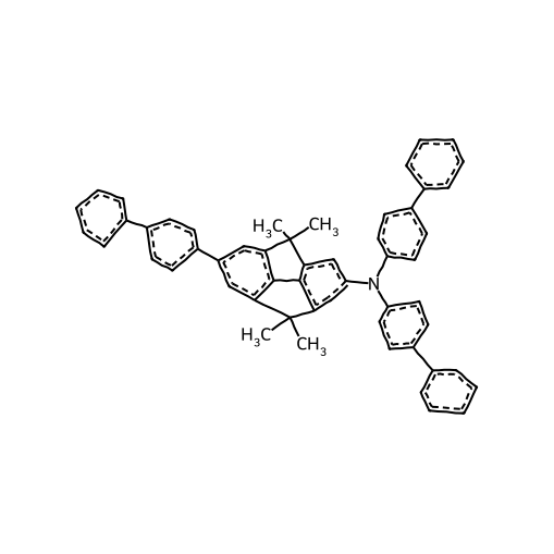 CC1(C)c2cc(-c3ccc(-c4ccccc4)cc3)cc3c2-c2c1cc(N(c1ccc(-c4ccccc4)cc1)c1ccc(-c4ccccc4)cc1)cc2C3(C)C